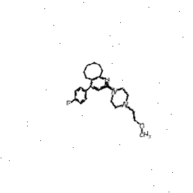 COCCN1CCN(c2cc(-c3ccc(F)cc3)c3c(n2)CCCCCC3)CC1